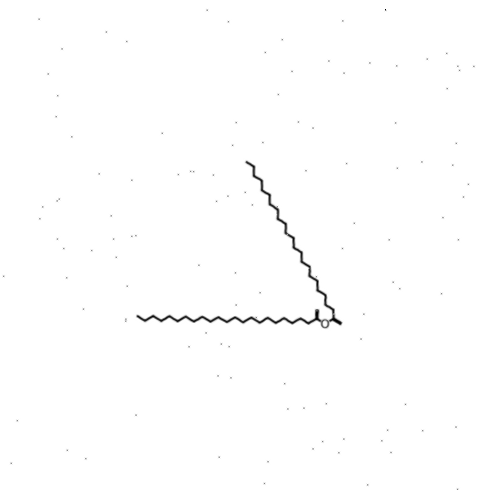 C=C(CCCCCCCCCCCCCCCCCCCCCC)OC(=C)CCCCCCCCCCCCCCCCCCCCCC